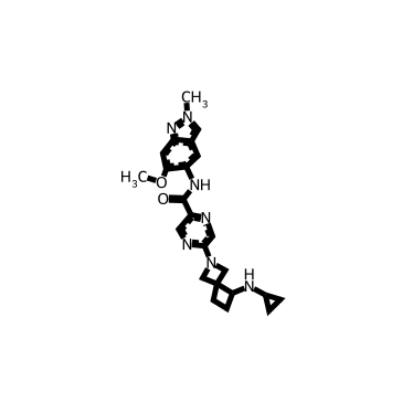 COc1cc2nn(C)cc2cc1NC(=O)c1cnc(N2CC3(CCC3NC3CC3)C2)cn1